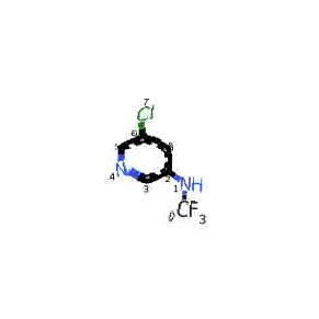 FC(F)(F)Nc1cncc(Cl)c1